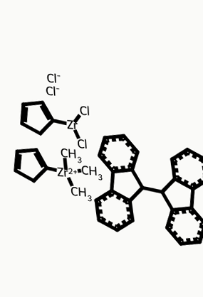 [CH3][Zr+2]([CH3])([CH3])[C]1=CC=CC1.[Cl-].[Cl-].[Cl][Zr]([Cl])[C]1=CC=CC1.c1ccc2c(c1)-c1ccccc1C2C1c2ccccc2-c2ccccc21